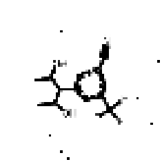 CC(O)C(c1cc(C#N)cc(C(F)(F)F)c1)C(C)O